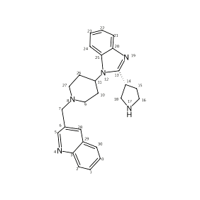 c1ccc2ncc(CN3CCC(n4c([C@@H]5CCNC5)nc5ccccc54)CC3)cc2c1